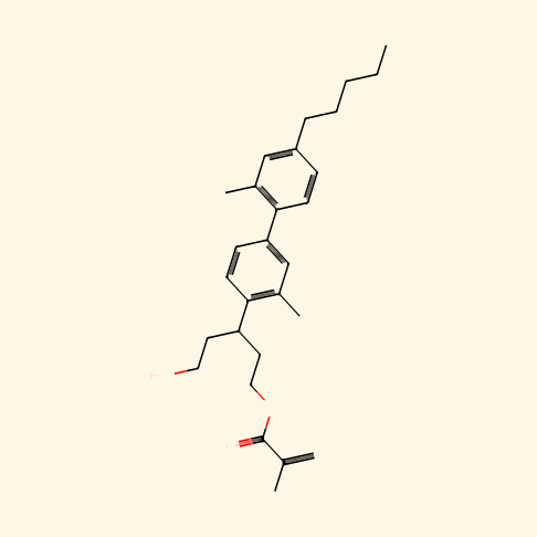 C=C(C)C(=O)OCCC(CCO)c1ccc(-c2ccc(CCCCC)cc2C)cc1C